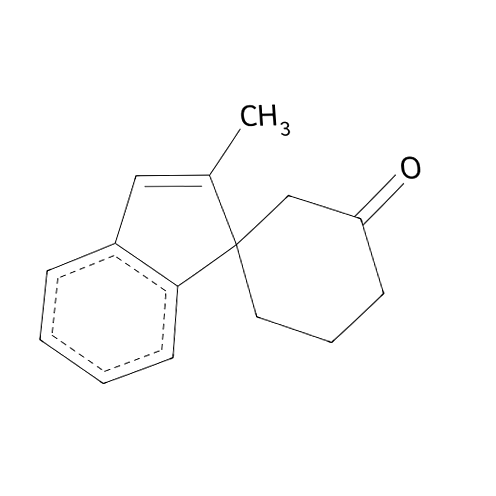 CC1=Cc2ccccc2C12CCCC(=O)C2